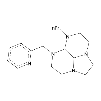 CCCN1CCN2CCN3CCN(Cc4ccccn4)C1C23